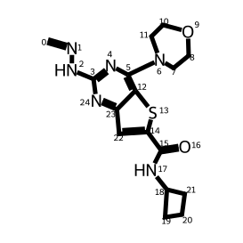 C=NNc1nc(N2CCOCC2)c2sc(C(=O)NC3CCC3)cc2n1